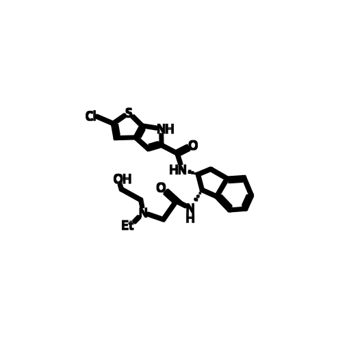 CCN(CCO)CC(=O)N[C@H]1c2ccccc2C[C@H]1NC(=O)c1cc2cc(Cl)sc2[nH]1